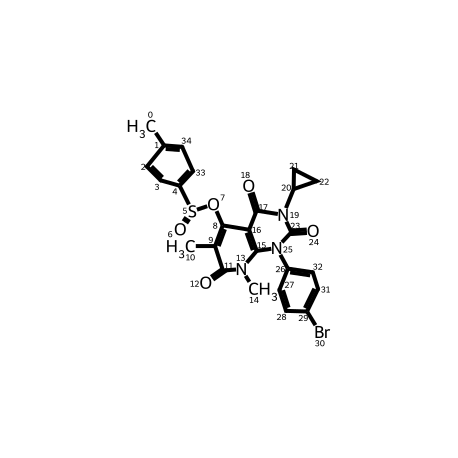 Cc1ccc(S(=O)Oc2c(C)c(=O)n(C)c3c2c(=O)n(C2CC2)c(=O)n3-c2ccc(Br)cc2)cc1